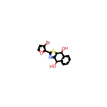 OC1c2ccccc2C(O)c2sc(-c3occc3Br)nc21